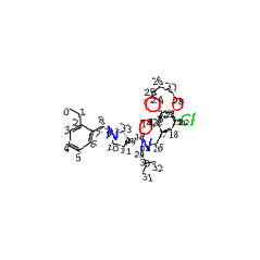 CCc1ccccc1CN1CC[C@@H](C(=O)N(Cc2cc(Cl)c3c(c2)OCCCO3)CC(C)C)C1